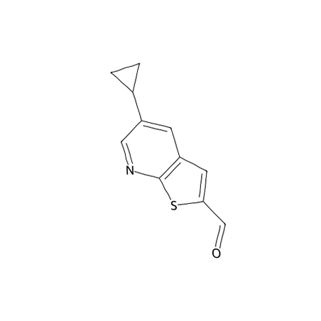 O=Cc1cc2cc(C3CC3)cnc2s1